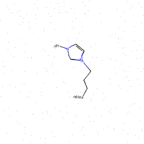 CCCCCCCCCN1C=CN(CCC)C1